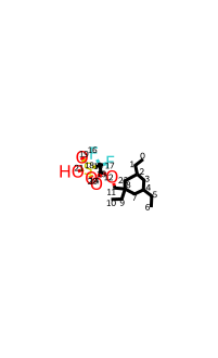 CCC1CC(CC)CC(CC)(COC(=O)C(F)(F)S(=O)(=O)O)C1